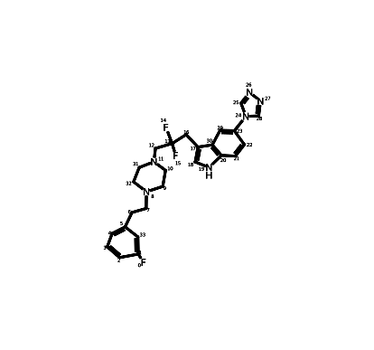 Fc1cccc(CCN2CCN(CC(F)(F)Cc3c[nH]c4ccc(-n5cnnc5)cc34)CC2)c1